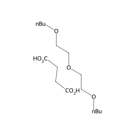 CCCCOCCOCCOCCCC.O=C(O)CCC(=O)O